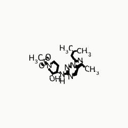 Cc1nc(CC(C)C)n2nc(N[C@@H]3CCN(S(C)(=O)=O)C[C@H]3O)ncc12